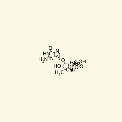 C[C@@H](O)[C@H](O)[C@@H](COP(N)(=O)OP(=O)(O)O)OCn1cnc2c(=O)[nH]c(N)nc21